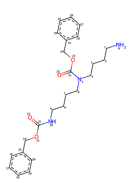 NCCCCN(CCCCNC(=O)OCc1ccccc1)C(=O)OCc1ccccc1